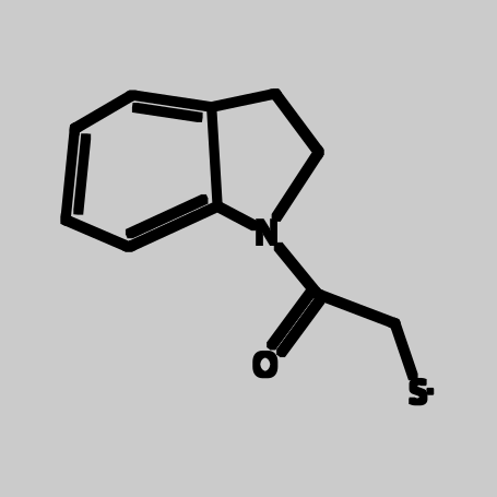 O=C(C[S])N1CCc2ccccc21